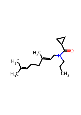 CCCN(C/C=C(\C)CCC=C(C)C)C(=O)C1CC1